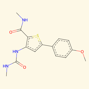 CNC(=O)Nc1cc(-c2ccc(OC)cc2)sc1C(=O)NC